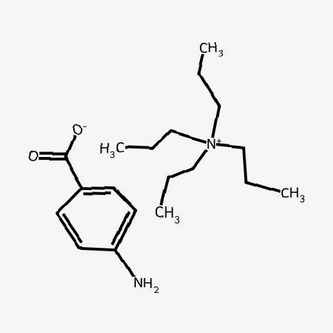 CCC[N+](CCC)(CCC)CCC.Nc1ccc(C(=O)[O-])cc1